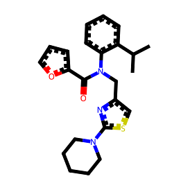 CC(C)c1ccccc1N(Cc1csc(N2CCCCC2)n1)C(=O)c1ccco1